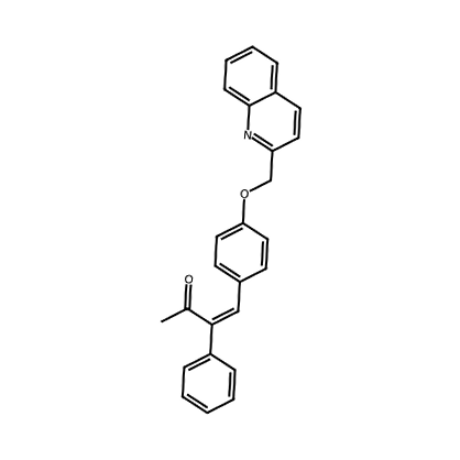 CC(=O)/C(=C\c1ccc(OCc2ccc3ccccc3n2)cc1)c1ccccc1